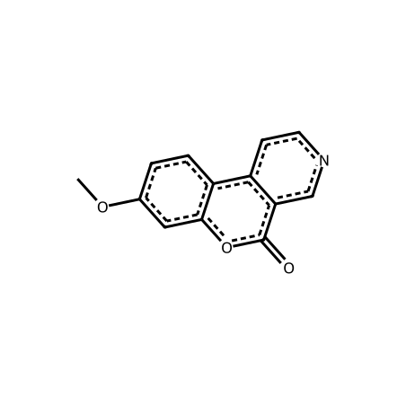 COc1ccc2c(c1)oc(=O)c1cnccc12